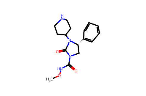 CONC(=O)N1C[C@@H](c2ccccc2)N(C2CCNCC2)C1=O